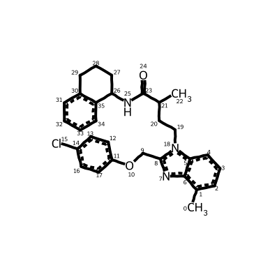 Cc1cccc2c1nc(COc1ccc(Cl)cc1)n2CCC(C)C(=O)NC1CCCc2ccccc21